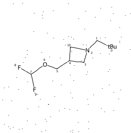 CC(C)(C)CN1CC(COC(F)F)C1